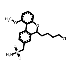 COc1cccc2c1-c1ccc(CS(N)(=O)=O)cc1C(CCCCCl)O2